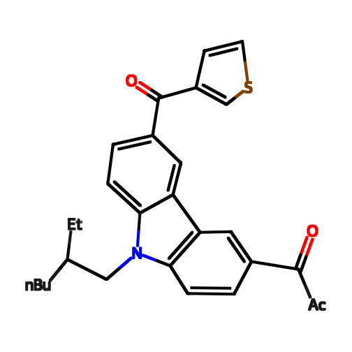 CCCCC(CC)Cn1c2ccc(C(=O)C(C)=O)cc2c2cc(C(=O)c3ccsc3)ccc21